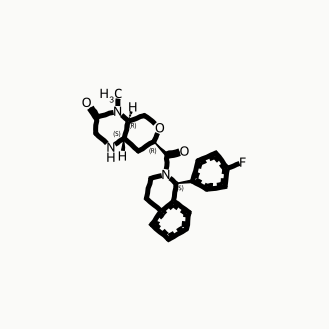 CN1C(=O)CN[C@H]2C[C@H](C(=O)N3CCc4ccccc4[C@@H]3c3ccc(F)cc3)OC[C@@H]21